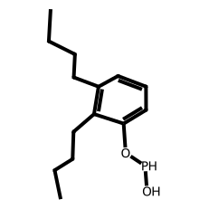 CCCCc1cccc(OPO)c1CCCC